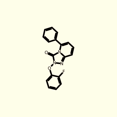 O=c1n(Oc2ccccc2F)nc2cccc(-c3ccccc3)n12